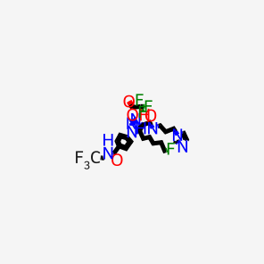 O=C(NCC(F)(F)F)c1ccc(-n2nnc(C(=O)NCCCn3ccnc3)c2CCCCCF)cc1.O=C(O)C(F)(F)F